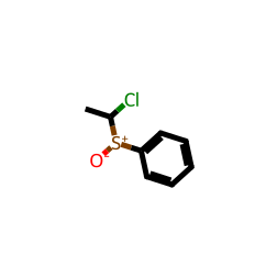 CC(Cl)[S+]([O-])c1ccccc1